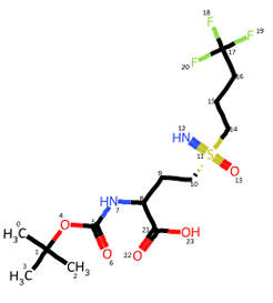 CC(C)(C)OC(=O)NC(CC[S@@](=N)(=O)CCCC(F)(F)F)C(=O)O